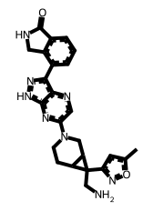 Cc1cc(C2(CN)C3CCN(c4cnc5c(-c6cccc7c6CNC7=O)n[nH]c5n4)CC32)no1